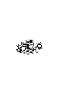 CC1=C[C@]23C(=O)[C@@H](C=C(CO)C(O)[C@]2(O)[C@H]1OC(=O)N(C)Cc1ccccc1)[C@H]1[C@@H](C[C@H]3C)C1(C)C